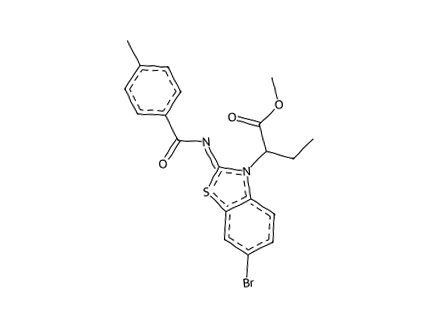 CCC(C(=O)OC)n1c(=NC(=O)c2ccc(C)cc2)sc2cc(Br)ccc21